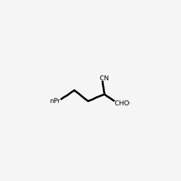 CCCCCC([C]=O)C#N